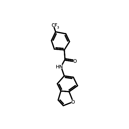 O=C(Nc1ccc2occc2c1)c1ccc(C(F)(F)F)cc1